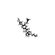 CCC(CC)(NC(=O)c1cnc(N2CC(OC)C2)c(OCC2CC2)n1)C(=O)OCCCF